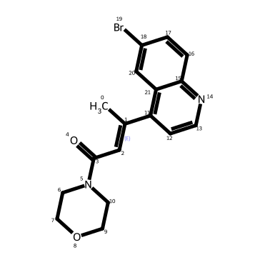 C/C(=C\C(=O)N1CCOCC1)c1ccnc2ccc(Br)cc12